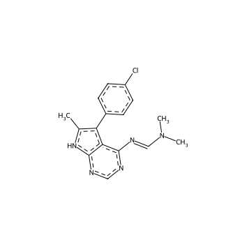 Cc1[nH]c2ncnc(N=CN(C)C)c2c1-c1ccc(Cl)cc1